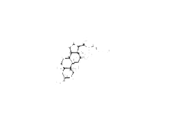 CC(CCC(=O)O)C1CCC2C3CC[C@@H]4C[C@H](O)CC[C@]4(C)[C@H]3C[C@H](O)[C@]12C